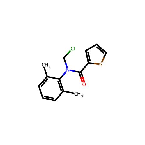 Cc1cccc(C)c1N(CCl)C(=O)c1cccs1